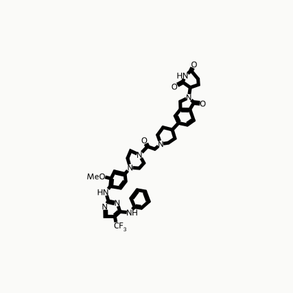 COc1cc(N2CCN(C(=O)CN3CCC(c4ccc5c(c4)CN(C4CCC(=O)NC4=O)C5=O)CC3)CC2)ccc1Nc1ncc(C(F)(F)F)c(Nc2ccccc2)n1